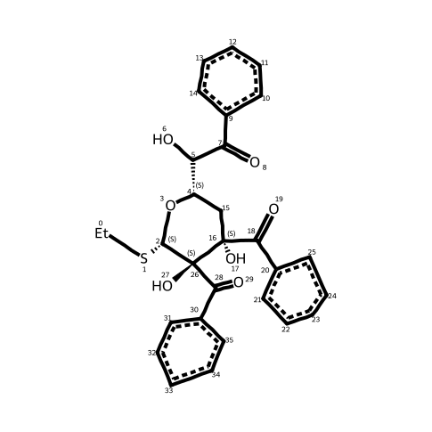 CCS[C@@H]1O[C@H](C(O)C(=O)c2ccccc2)C[C@@](O)(C(=O)c2ccccc2)[C@]1(O)C(=O)c1ccccc1